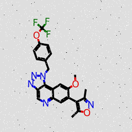 COc1cc2c(cc1-c1c(C)noc1C)ncc1nnn(Cc3ccc(OC(F)(F)F)cc3)c12